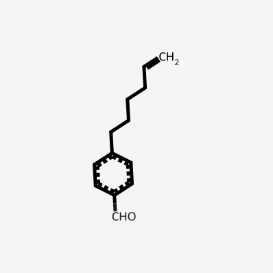 C=CCCCCc1ccc(C=O)cc1